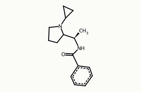 C[C@@H](NC(=O)c1ccccc1)C1CCCN1C1CC1